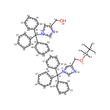 CC(C)(C)[Si](C)(C)OCc1cn(C(c2ccccc2)(c2ccccc2)c2ccccc2)cn1.OCc1cn(C(c2ccccc2)(c2ccccc2)c2ccccc2)cn1